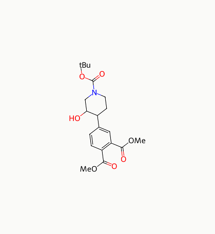 COC(=O)c1ccc(C2CCN(C(=O)OC(C)(C)C)CC2O)cc1C(=O)OC